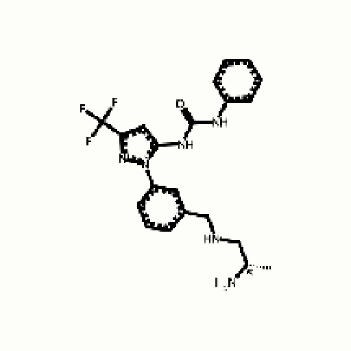 C[C@H](N)CNCc1cccc(-n2nc(C(F)(F)F)cc2NC(=O)Nc2ccccc2)c1